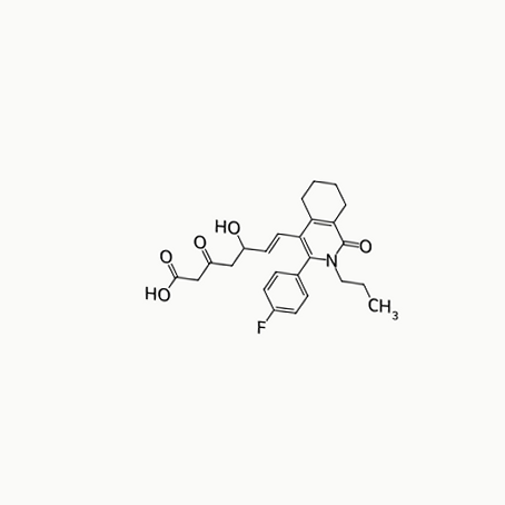 CCCn1c(-c2ccc(F)cc2)c(C=CC(O)CC(=O)CC(=O)O)c2c(c1=O)CCCC2